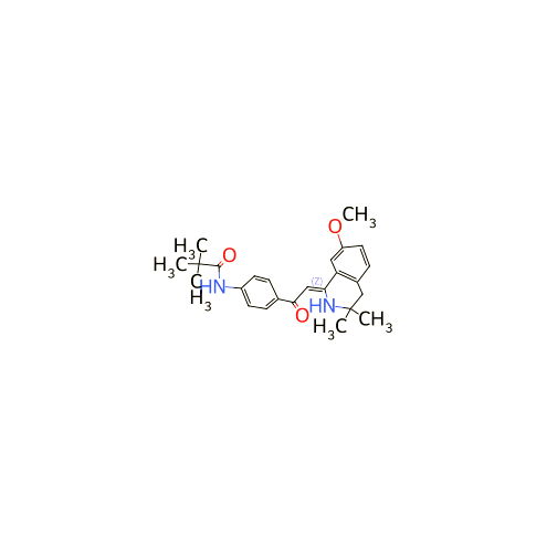 COc1ccc2c(c1)/C(=C/C(=O)c1ccc(NC(=O)C(C)(C)C)cc1)NC(C)(C)C2